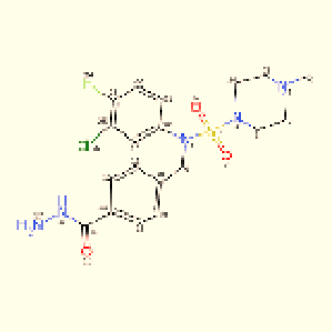 CN1CCN(S(=O)(=O)N(Cc2ccc(C(=O)NN)cc2)c2ccc(F)c(Cl)c2)CC1